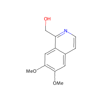 COc1cc2ccnc(CO)c2cc1OC